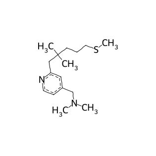 CSCCCC(C)(C)Cc1cc(CN(C)C)ccn1